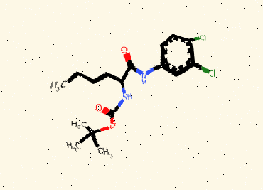 CCCCC(NC(=O)OC(C)(C)C)C(=O)Nc1ccc(Cl)c(Cl)c1